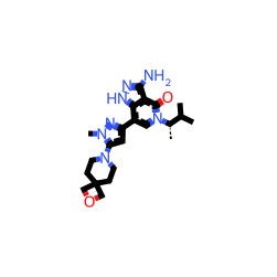 CC(C)[C@H](C)n1cc(-c2cc(N3CCC4(CC3)COC4)n(C)n2)c2[nH]nc(N)c2c1=O